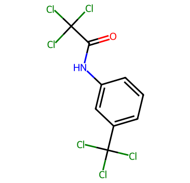 O=C(Nc1cccc(C(Cl)(Cl)Cl)c1)C(Cl)(Cl)Cl